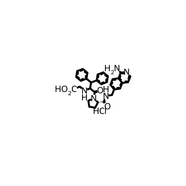 Cl.Nc1nccc2cc(CNC(=O)[C@@H]3CCCN3C(=O)C(NCC(=O)O)C(c3ccccc3)c3ccccc3)ccc12